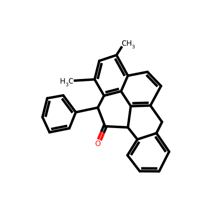 Cc1cc(C)c2ccc3c4c2c1C(c1ccccc1)C(=O)C4c1ccccc1C3